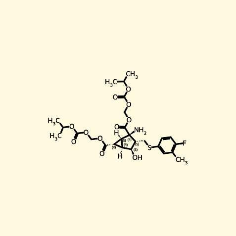 Cc1cc(SC[C@@H]2[C@@H](O)[C@H]3[C@H](C(=O)OCOC(=O)OC(C)C)[C@H]3[C@]2(N)C(=O)OCOC(=O)OC(C)C)ccc1F